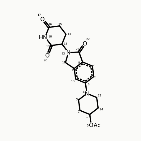 CC(=O)OC1CCN(c2ccc3c(c2)CN(C2CCC(=O)NC2=O)C3=O)CC1